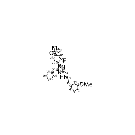 COc1cccc(CCNCc2nc(Cc3ccccc3)n(-c3ccc(S(N)(=O)=O)cc3F)n2)c1